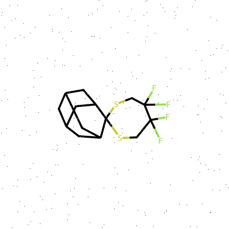 FC1(F)CSC2(SCC1(F)F)C1CC3CC(C1)CC2C3